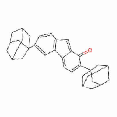 O=C1C2=Cc3ccc(C45CC6CC(CC(C6)C4)C5)cc3C2=CC=C1C12CC3CC(CC(C3)C1)C2